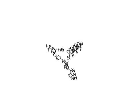 N#CCC1(n2cc(-c3ncnc4[nH]ccc34)cn2)CN([C@H]2CC[C@@H](Oc3cc(CNC4CC4)nc(C(F)(F)F)n3)CC2)C1.O=C(O)C(F)(F)F.O=C(O)C(F)(F)F.O=C(O)C(F)(F)F